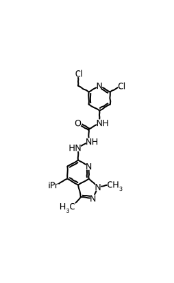 Cc1nn(C)c2nc(NNC(=O)Nc3cc(Cl)nc(CCl)c3)cc(C(C)C)c12